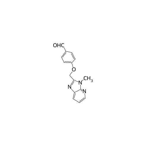 Cn1c(COc2ccc(C=O)cc2)nc2cccnc21